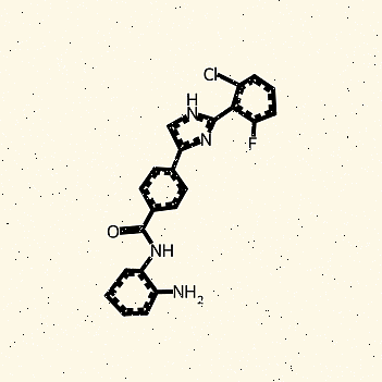 Nc1ccccc1NC(=O)c1ccc(-c2c[nH]c(-c3c(F)cccc3Cl)n2)cc1